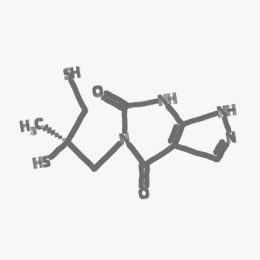 C[C@](S)(CS)Cn1c(=O)[nH]c2[nH]ncc2c1=O